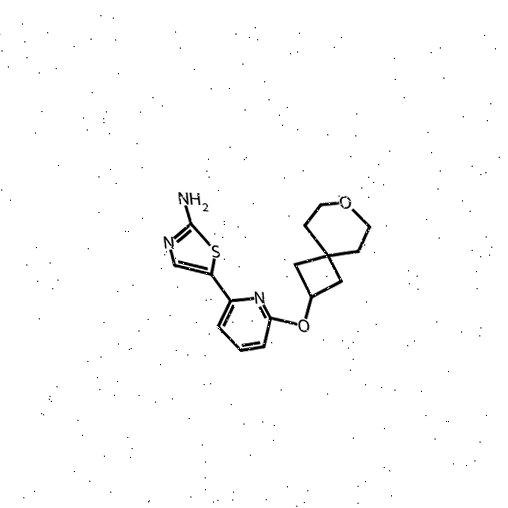 Nc1ncc(-c2cccc(OC3CC4(CCOCC4)C3)n2)s1